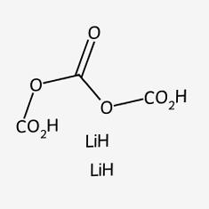 O=C(O)OC(=O)OC(=O)O.[LiH].[LiH]